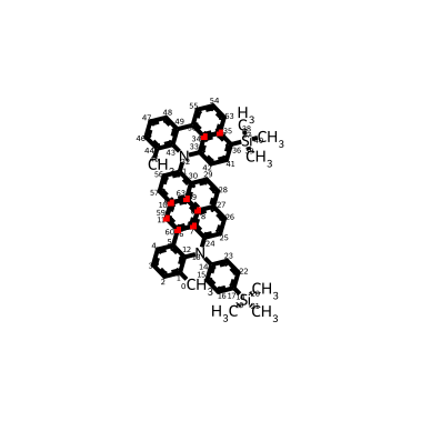 Cc1cccc(-c2ccccc2)c1N(c1ccc([Si](C)(C)C)cc1)c1ccc2ccc3c(N(c4ccc([Si](C)(C)C)cc4)c4c(C)cccc4-c4ccccc4)ccc4ccc1c2c43